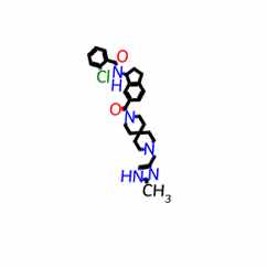 Cc1nc(CN2CCC3(CC2)CCN(C(=O)c2ccc4c(c2)C(NC(=O)c2ccccc2Cl)CC4)CC3)c[nH]1